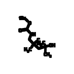 CC(C)(O)CC(C)(C)CNC(=O)OC(C)(C)C